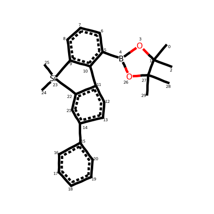 CC1(C)OB(c2cccc3c2-c2ccc(-c4ccccc4)cc2[Si]3(C)C)OC1(C)C